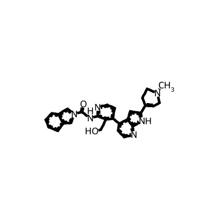 CN1CC=C(c2cc3c(-c4ccnc(NC(=O)n5cc6ccccc6c5)c4CO)ccnc3[nH]2)CC1